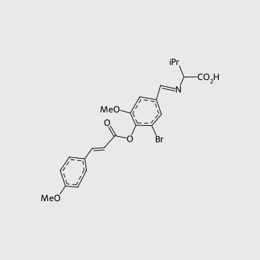 COc1ccc(/C=C/C(=O)Oc2c(Br)cc(/C=N/C(C(=O)O)C(C)C)cc2OC)cc1